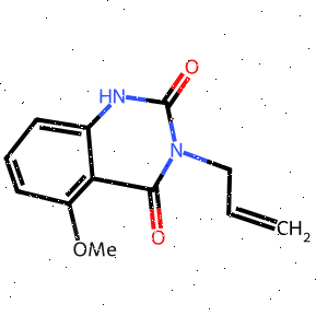 C=CCn1c(=O)[nH]c2cccc(OC)c2c1=O